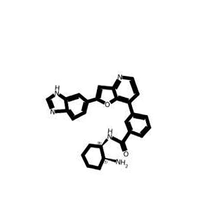 N[C@H]1CCCC[C@H]1NC(=O)c1cccc(-c2ccnc3cc(-c4ccc5nc[nH]c5c4)oc23)c1